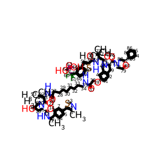 Cc1ncsc1-c1ccc([C@H](C)NC(=O)[C@@H]2C[C@@H](O)CN2C(=O)[C@@H](NC(=O)CCCCCCCCNC(=O)COc2ccc3c(c2)CN(C(=O)[C@@H](NC(=O)c2cc4cc(C(F)(F)P(=O)(O)O)ccc4s2)C(C)(C)C)[C@H](C(=O)N2CCO[C@H](c4ccccc4)C2)C3)C(C)(C)C)cc1